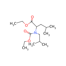 CCOC(=O)C(CC(C)C)N(CC(C)C)C(=O)OCC